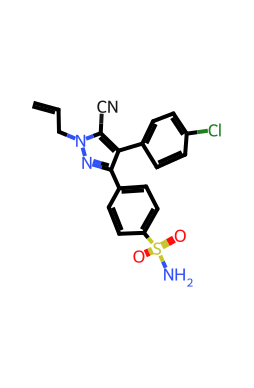 C=CCn1nc(-c2ccc(S(N)(=O)=O)cc2)c(-c2ccc(Cl)cc2)c1C#N